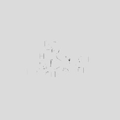 CC(C)c1nc2c(OC(F)(F)F)cc(C(C)(C)C)cc2s1